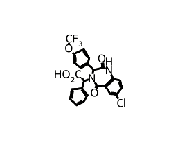 O=C(O)C(c1ccccc1)N1C(=O)c2cc(Cl)ccc2NC(=O)C1c1ccc(OC(F)(F)F)cc1